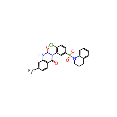 O=c1[nH]c2cc(C(F)(F)F)ccc2c(=O)n1-c1cc(S(=O)(=O)N2CCCc3ccccc32)ccc1Cl